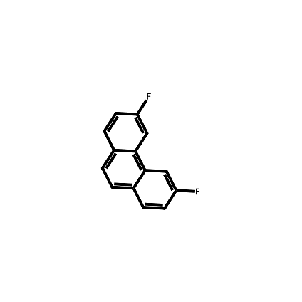 Fc1ccc2ccc3ccc(F)cc3c2c1